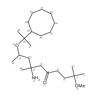 COC(C)(C)CCC(=O)CC(C)(N)CC(C)OC(C)(C)C1CCCCCCC1